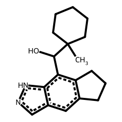 CC1(C(O)c2c3c(cc4cn[nH]c24)CCC3)CCCCC1